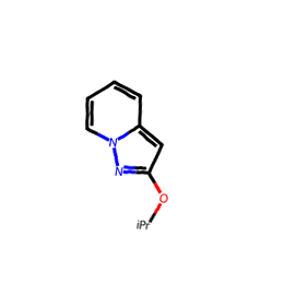 CC(C)Oc1cc2ccccn2n1